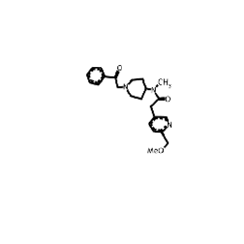 COCc1ccc(CC(=O)N(C)C2CCN(CC(=O)c3ccccc3)CC2)cn1